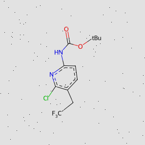 CC(C)(C)OC(=O)Nc1ccc(CC(F)(F)F)c(Cl)n1